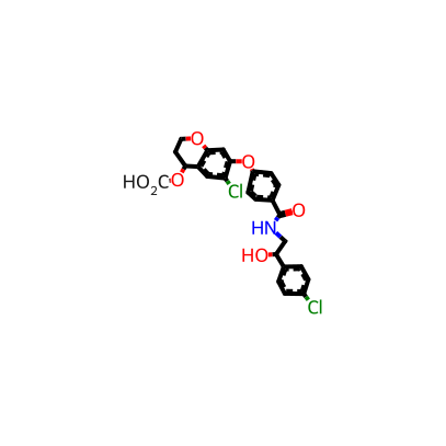 O=C(O)OC1CCOc2cc(Oc3ccc(C(=O)NCC(O)c4ccc(Cl)cc4)cc3)c(Cl)cc21